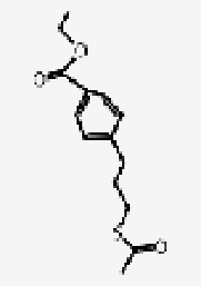 CCOC(=O)c1ccc(CCCSC(C)=O)cc1